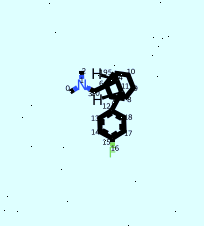 CN(C)C[C@@H]1C2CCC(CC2)[C@@H]1c1ccc(F)cc1